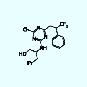 CC(C)CC(CO)Nc1nc(Cl)nc(CC(c2ccccc2)C(F)(F)F)n1